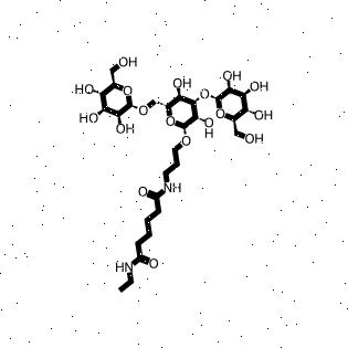 CCNC(=O)CCCCC(=O)NCCCO[C@@H]1O[C@H](CO[C@H]2O[C@H](CO)[C@@H](O)[C@H](O)[C@@H]2O)[C@@H](O)[C@H](O[C@H]2O[C@H](CO)[C@@H](O)[C@H](O)[C@@H]2O)[C@@H]1O